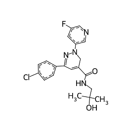 CC(C)(O)CNC(=O)C1=CC(c2ccc(Cl)cc2)=NN(c2cncc(F)c2)C1